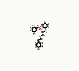 C(=Cc1ccccc1OCc1ccccc1)CCCCc1ccccc1